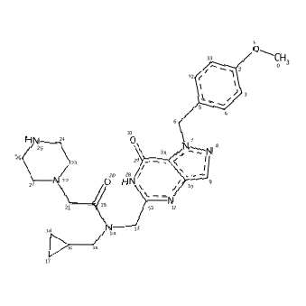 COc1ccc(Cn2ncc3nc(CN(CC4CC4)C(=O)CN4CCNCC4)[nH]c(=O)c32)cc1